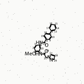 COc1ccc(NC(=O)c2ccc(-c3ccccc3)cc2)cc1NC(=O)Cn1cccn1